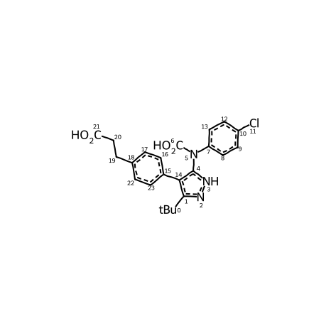 CC(C)(C)c1n[nH]c(N(C(=O)O)c2ccc(Cl)cc2)c1-c1ccc(CCC(=O)O)cc1